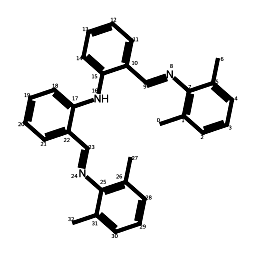 Cc1cccc(C)c1/N=C/c1ccccc1Nc1ccccc1/C=N/c1c(C)cccc1C